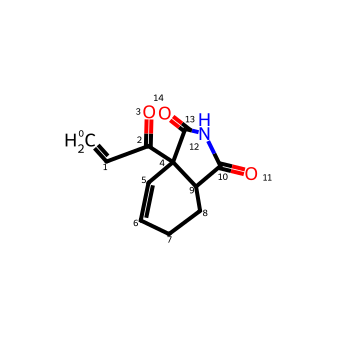 C=CC(=O)C12C=CCCC1C(=O)NC2=O